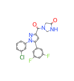 O=C1CN(C(=O)c2cc(-c3cc(F)cc(F)c3)n(-c3cccc(Cl)c3)n2)CN1